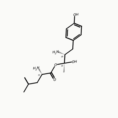 CC(C)C[C@H](N)C(=O)O[C@](C)(O)[C@H](N)Cc1ccc(O)cc1